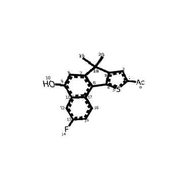 CC(=O)c1cc2c(s1)-c1c(cc(O)c3cc(F)ccc13)C2(C)C